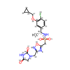 C[C@@H](NS(=O)(=O)Cc1nc(CN2CC(=O)NC2=O)no1)c1ccc(F)c(OCC2CC2)c1